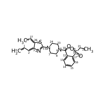 C=C/C=c1/nc(N2CCN(C(=O)c3ccccc3S(=O)(=O)CC)CC2)s/c1=C/C